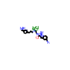 CN(CCCc1ccc(CN)cc1)CCNC(=O)c1cc2cc(C#N)ccc2[nH]1.Cl.Cl